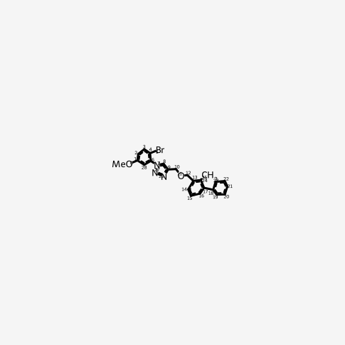 COc1ccc(Br)c(-n2cc(COCc3cccc(-c4ccccc4)c3C)nn2)c1